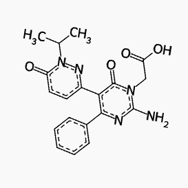 CC(C)n1nc(-c2c(-c3ccccc3)nc(N)n(CC(=O)O)c2=O)ccc1=O